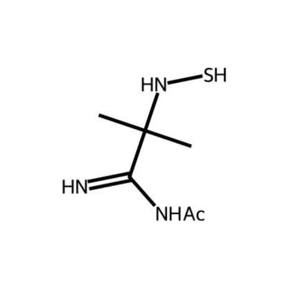 CC(=O)NC(=N)C(C)(C)NS